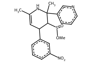 COS(=O)C1C(c2cccc([N+](=O)[O-])c2)C=C(C)NC1(C)c1cccnc1